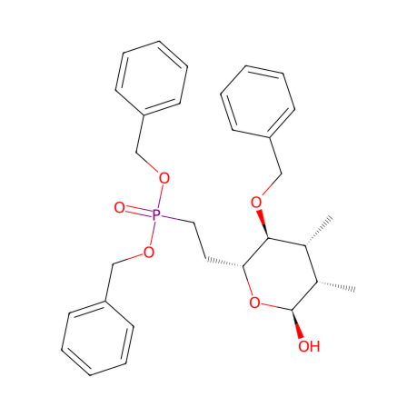 C[C@@H]1[C@H](C)[C@@H](O)O[C@H](CCP(=O)(OCc2ccccc2)OCc2ccccc2)[C@H]1OCc1ccccc1